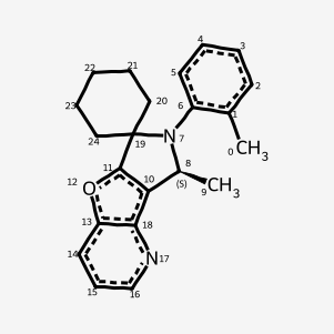 Cc1ccccc1N1[C@@H](C)c2c(oc3cccnc23)C12CCCCC2